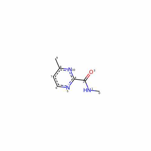 CNC(=O)c1nccc(C)n1